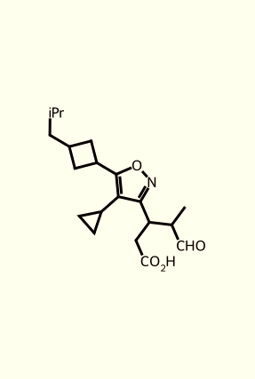 CC(C)CC1CC(c2onc(C(CC(=O)O)C(C)C=O)c2C2CC2)C1